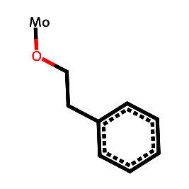 [Mo][O]CCc1ccccc1